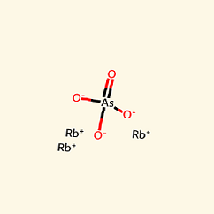 O=[As]([O-])([O-])[O-].[Rb+].[Rb+].[Rb+]